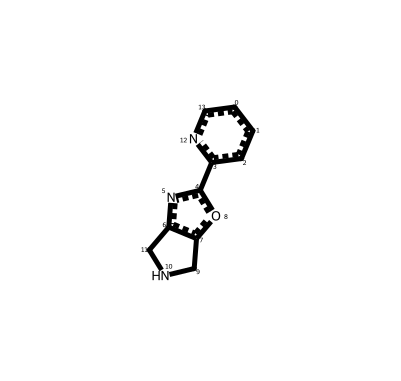 c1ccc(-c2nc3c(o2)CNC3)nc1